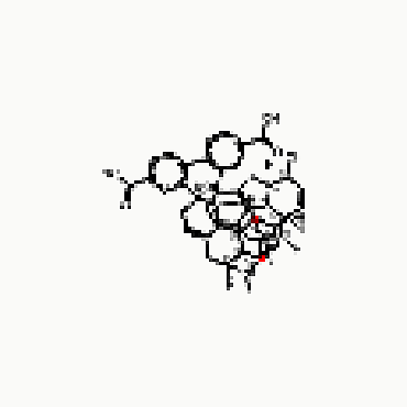 CN1CC[C@]23C4=C5O[C@H]2[C@@H](O)C=C[C@H]3[C@H]1CC4=CCC5(O)c1cc(C(=O)O)ccc1-c1ccc(C(=O)O)cc1C1(O)CC=C2C[C@@H]3[C@@H]4C=C[C@H](O)[C@@H]5OC1=C2[C@]45CCN3C